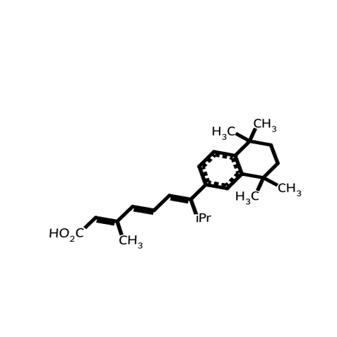 CC(/C=C/C=C(/c1ccc2c(c1)C(C)(C)CCC2(C)C)C(C)C)=C\C(=O)O